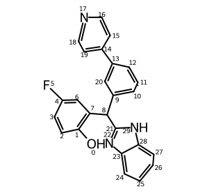 Oc1ccc(F)cc1C(c1c[c]cc(-c2ccncc2)c1)c1nc2ccccc2[nH]1